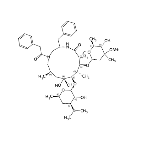 COC1(C)CC(O[C@H]2[C@H](C)[C@@H](OC3O[C@H](C)C[C@H](N(C)C)[C@H]3O)[C@](C)(O)C[C@@H](C)CN(C(=O)Cc3ccccc3)CC(Cc3ccccc3)NC(=O)[C@@H]2C)O[C@@H](C)[C@@H]1O